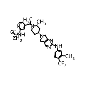 C=C(c1ccnc(N[S+](C)[O-])c1)N1CC[C@@H](N2Cc3cnc(Nc4ccc(C(F)(F)F)c(C)c4)nc3C2)C[C@H]1C